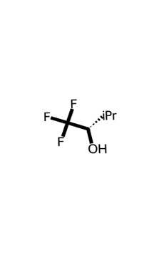 CC(C)[C@H](O)C(F)(F)F